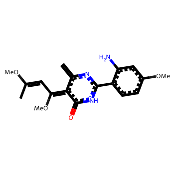 C=c1nc(-c2ccc(OC)cc2N)[nH]c(=O)/c1=C(/C=C(\C)OC)OC